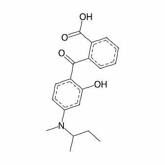 CCC(C)N(C)c1ccc(C(=O)c2ccccc2C(=O)O)c(O)c1